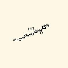 COCCOCCOCCNC(=O)C1CNC1.Cl